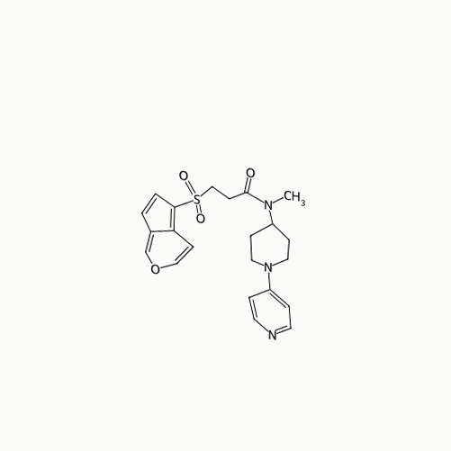 CN(C(=O)CCS(=O)(=O)c1ccc2coccc1-2)C1CCN(c2ccncc2)CC1